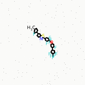 Cc1ccc(-c2ccc3nc(-c4cc(F)c(C(F)(F)Oc5ccc(-c6cc(F)c(C(F)(F)F)c(F)c6)c(F)c5)c(F)c4)sc3c2)c(F)c1